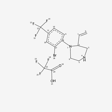 C=CC1CNCCN1c1ccc(C(F)(F)F)cc1Br.O=C(O)C(F)(F)F